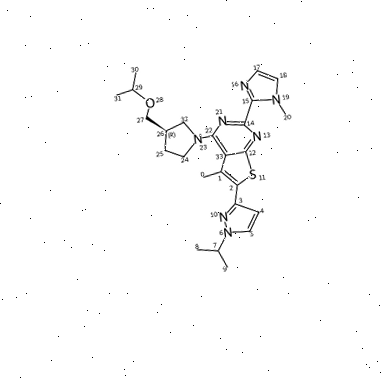 Cc1c(-c2ccn(C(C)C)n2)sc2nc(-c3nccn3C)nc(N3CC[C@@H](COC(C)C)C3)c12